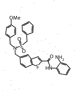 COc1ccc(CN(Cc2ccc3sc(C(=O)Nc4ccccc4N)cc3c2)S(=O)(=O)Cc2ccccc2)cc1